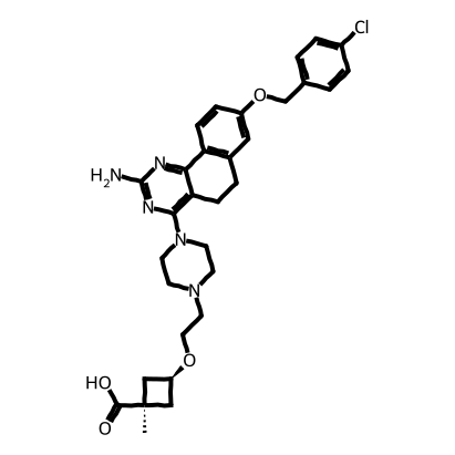 C[C@]1(C(=O)O)C[C@@H](OCCN2CCN(c3nc(N)nc4c3CCc3cc(OCc5ccc(Cl)cc5)ccc3-4)CC2)C1